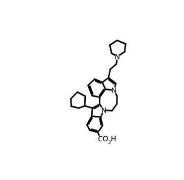 O=C(O)c1ccc2c(C3CCCCC3)c3n(c2c1)CCCn1cc(CCN2CCCCC2)c2cccc-3c21